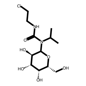 CC(C)N(C(=O)NCCCl)C1O[C@H](CO)[C@H](O)[C@H](O)[C@H]1O